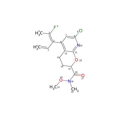 C=C/C(=C(\C)F)c1cc(Cl)nc2c1CCC(C(=O)N(C)OC)O2